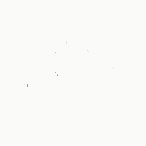 Cc1cccnc1C(C)NC(=O)c1cnc(-c2ccco2)nc1N